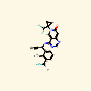 C#C[C@@H](Nc1ncnc2cc(=O)n(C3(C(F)F)CC3)cc12)c1cccc(C(F)F)c1C